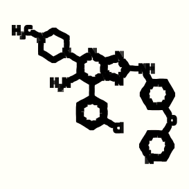 CN1CCN(c2nc3nc(Nc4ccc(Oc5ccncc5)cc4)nn3c(-c3cccc(Cl)c3)c2N)CC1